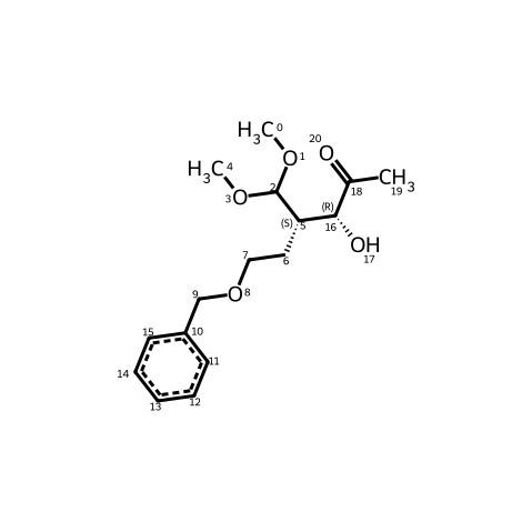 COC(OC)[C@@H](CCOCc1ccccc1)[C@@H](O)C(C)=O